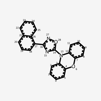 c1ccc2c(c1)Oc1ccccc1N2c1nc(-c2cccc3ccccc23)no1